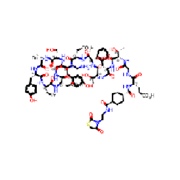 CC[C@H](C)[C@H](NC(=O)[C@H](CO)NC(=O)[C@H](Cc1ccc(O)cc1)NC(=O)[C@H](CC(=O)O)NC(=O)[C@H](CO)NC(=O)[C@@H](NC(=O)[C@H](Cc1ccccc1)NC(=O)[C@@H](NC(=O)CNC(=O)[C@H](CCC(=O)O)NC(=O)[C@H]1CC[C@H](C(=O)NCCN2C(=O)CSC2=O)CC1)[C@@H](C)O)[C@@H](C)O)C(=O)N[C@@H](Cc1ccc(O)cc1)C(=O)N[C@@H](CC(C)C)C(=O)N[C@@H](CC(=O)O)C(=O)N[C@H](C)CCCCN